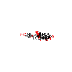 C[C@]12C=CC(=O)C=C1CC[C@@H]1[C@@H]2[C@@H](O)C[C@@]2(C)[C@H]1C[C@H]1O[C@@H](c3ccc(OCc4ccc(CO)cc4)cc3)O[C@]12C(=O)CO